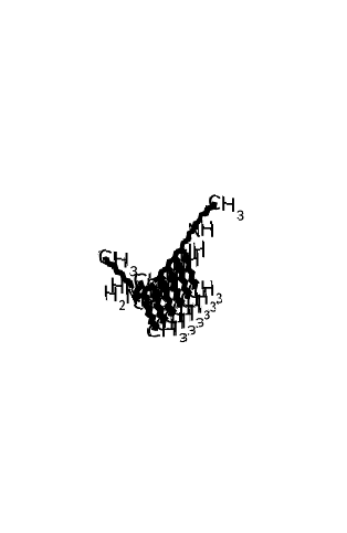 CCCCCCCNCCCC(CC(CC(CC(C[C@@H](CC(NCCCCCCC)[C@](C)(N)C(CC)NCCCCCCC)NCCCCCCC)NCCCCCCC)NCCCCCCC)NCCCCCCC)NCCCCCCC